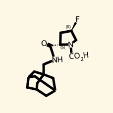 O=C(NCC12CC3CC(CC(C3)C1)C2)[C@@H]1C[C@@H](F)CN1C(=O)O